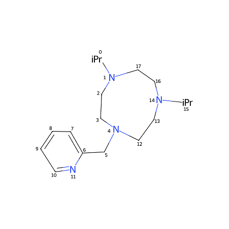 CC(C)N1CCN(Cc2ccccn2)CCN(C(C)C)CC1